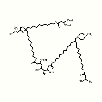 CCCCCC(CCCCC)CC(=O)OCCCCCCCCCCC1(CCCCCCCCCCOC(=O)CC(CCCCC)CC(CCC)C(CCC)C(CCCC)CC(=O)OCCCCCCCCCCC(CCCCCCCCCCOC(=O)CC(CCCC)CCCC)CN2CCN(C)CC2)OCC(CN(C)C(C)C)O1